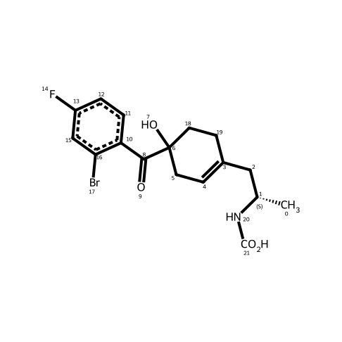 C[C@@H](CC1=CCC(O)(C(=O)c2ccc(F)cc2Br)CC1)NC(=O)O